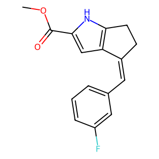 COC(=O)c1cc2c([nH]1)CCC2=Cc1cccc(F)c1